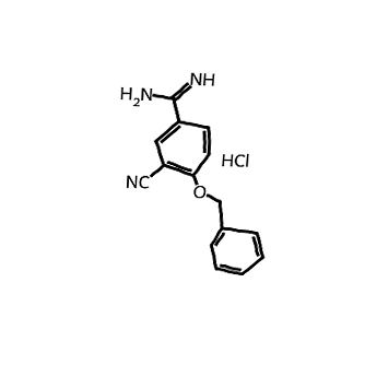 Cl.N#Cc1cc(C(=N)N)ccc1OCc1ccccc1